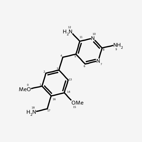 COc1cc(Cc2cnc(N)nc2N)cc(OC)c1CN